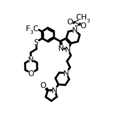 CS(=O)(=O)N1CCc2c(c(-c3ccc(C(F)(F)F)c(SCCN4CCOCC4)c3)nn2CCCN2CCC(N3CCCC3=O)CC2)C1